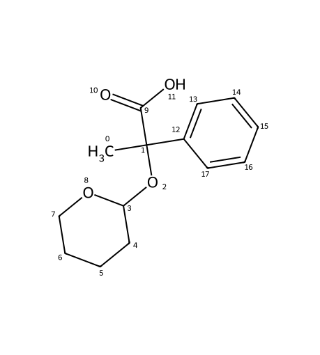 CC(OC1CCCCO1)(C(=O)O)c1ccccc1